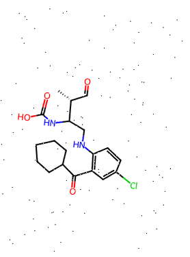 C[C@H](C=O)C(CNc1ccc(Cl)cc1C(=O)C1CCCCC1)NC(=O)O